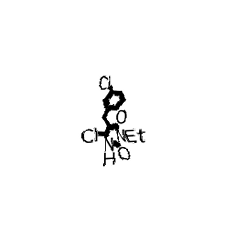 CCn1c(=O)[nH]c(Cl)c(Cc2cccc(Cl)c2)c1=O